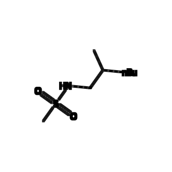 CCCCC(C)CNS(C)(=O)=O